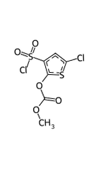 COC(=O)Oc1sc(Cl)cc1S(=O)(=O)Cl